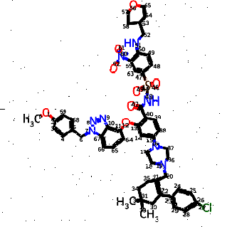 COc1ccc(Cn2nnc3c(Oc4cc(N5CCN(CC6=C(c7ccc(Cl)cc7)CC(C)(C)CC6)CC5)ccc4C(=O)NS(=O)(=O)c4ccc(NCC5CCOCC5)c([N+](=O)[O-])c4)cccc32)cc1